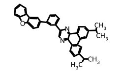 CC(C)c1ccc2c(c1)c1cc(C(C)C)ccc1c1nc(-c3cccc(-c4ccc5oc6ccccc6c5c4)c3)cnc21